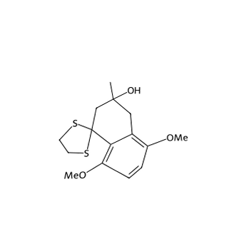 COc1ccc(OC)c2c1CC(C)(O)CC21SCCS1